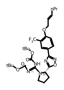 CCCC=CCOc1ccc(-c2noc([C@@H]3CCCN3/C(=N/C(=O)OC(C)(C)C)NC(=O)OC(C)(C)C)n2)cc1C(F)(F)F